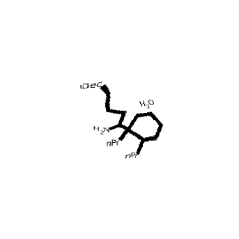 CCCCCCCCCCCCCC(N)C1(CCC)CCCCC1CCC.O